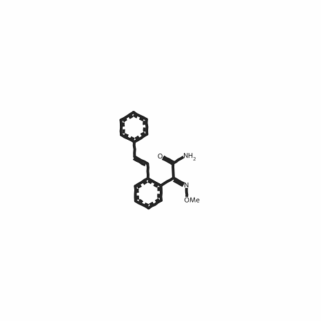 CO/N=C(/C(N)=O)c1ccccc1C=Cc1ccccc1